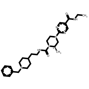 CCNC(=O)c1cnc(N2CCN(C(=O)NCCC3CCN(Cc4ccccc4)CC3)[C@H](C)C2)nc1